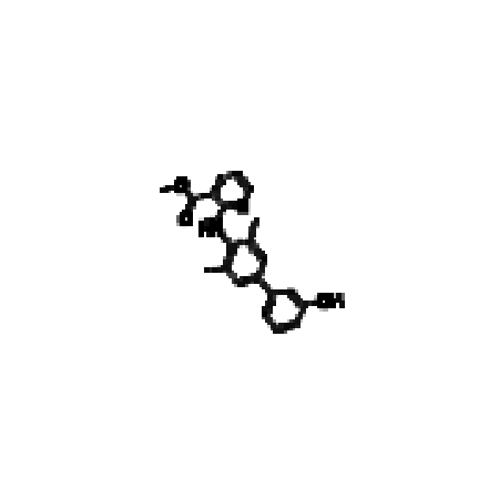 COC(=O)c1cccnc1Nc1c(C)cc(-c2cccc(O)c2)cc1C